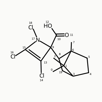 CC1(C)C2CCC1(C)C(C1(C(=O)O)C(Cl)=C(Cl)N1Cl)C2